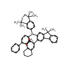 Cc1cc2c(cc1-c1cc3c(cc1N(c1ccc(-c4ccccc4)cc1)c1ccc4c(c1)C(C)(C)CCC4(C)C)C(C)(C)c1ccccc1-3)CCCC2